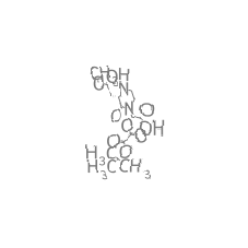 COC(=O)C[C@@H]1NCCN(C(OC(=O)C(=O)OC(C)(C)C)C(=O)O)C1=O